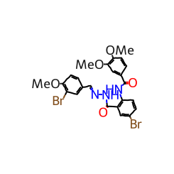 COc1ccc(C=NNC(=O)c2cc(Br)ccc2NC(=O)c2ccc(OC)c(OC)c2)cc1Br